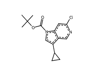 CC(C)(C)OC(=O)n1cc(C2CC2)c2cnc(Cl)cc21